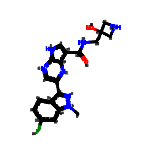 Cn1nc(-c2cnc3[nH]cc(C(=O)NCC4(O)CNC4)c3n2)c2ccc(F)cc21